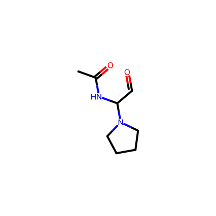 CC(=O)NC(C=O)N1CCCC1